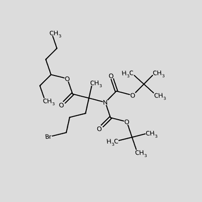 CCCC(CC)OC(=O)C(C)(CCCBr)N(C(=O)OC(C)(C)C)C(=O)OC(C)(C)C